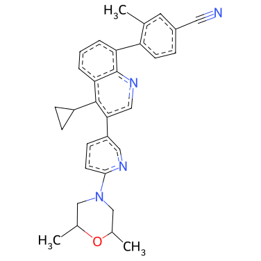 Cc1cc(C#N)ccc1-c1cccc2c(C3CC3)c(-c3ccc(N4CC(C)OC(C)C4)nc3)cnc12